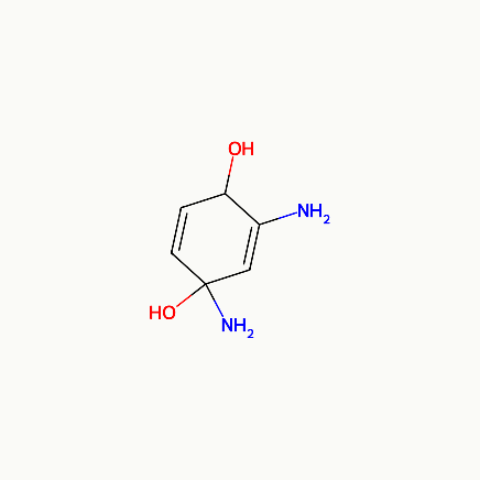 NC1=CC(N)(O)C=CC1O